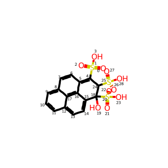 O=S(=O)(O)C1=c2ccc3cccc4ccc(c2c43)C(O)(S(=O)(=O)O)C1S(=O)(=O)O